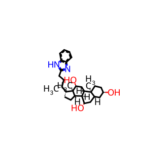 C[C@H](CCc1nc2ccccc2[nH]1)[C@H]1CC[C@H]2[C@@H]3[C@H](O)C[C@@H]4C[C@H](O)CC[C@]4(C)[C@H]3C[C@H](O)[C@]12C